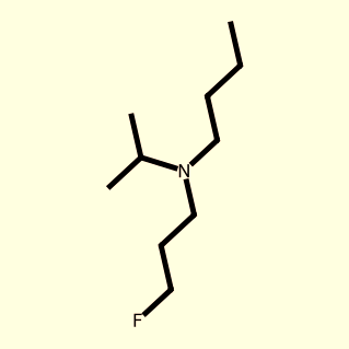 CCCCN(CCCF)C(C)C